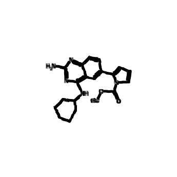 CC(C)(C)OC(=O)n1cccc1-c1ccc2nc(N)nc(NC3CCCCC3)c2c1